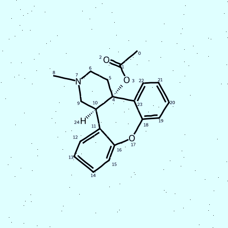 CC(=O)O[C@@]12CCN(C)C[C@@H]1c1ccccc1Oc1ccccc12